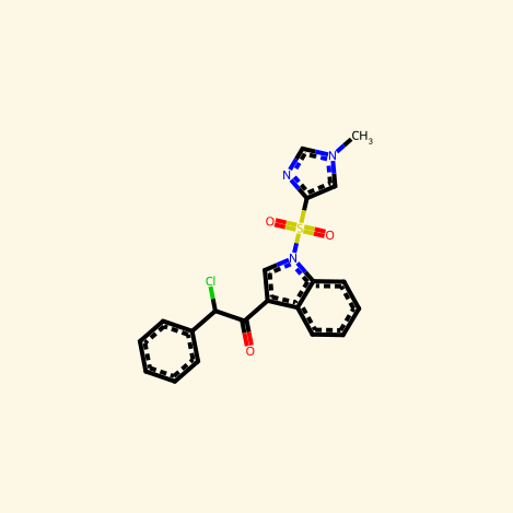 Cn1cnc(S(=O)(=O)n2cc(C(=O)C(Cl)c3ccccc3)c3ccccc32)c1